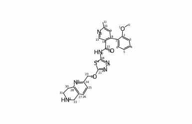 COc1ccccc1-c1cc(C)ncc1C(=O)Nc1nnc(OCc2ccc3c(n2)CCNC3)s1